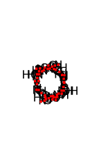 CN[C@@H](C)C(=O)N[C@H]1COCc2cn(nn2)-c2ccc(cc2)C[C@H](C(=O)O)NC(=O)[C@H](Cc2ccccc2)NC(=O)[C@@H]2CCCN2C(=O)[C@@H](NC(=O)[C@H](C)NC)COCc2cn(nn2)-c2ccc(cc2)C[C@H](C(=O)O)NC(=O)[C@H](Cc2ccccc2)NC(=O)[C@@H]2CCCN2C1=O